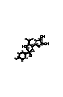 CC(C)=C(O)[C@@H](OS(=O)(=O)c1ccc(C)cc1)[C@@H]1C[C@@H](O)[C@@H](O)O1